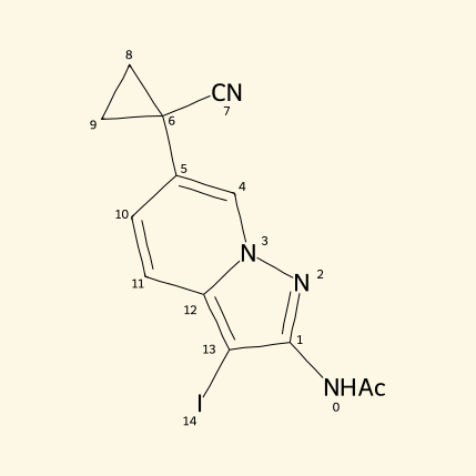 CC(=O)Nc1nn2cc(C3(C#N)CC3)ccc2c1I